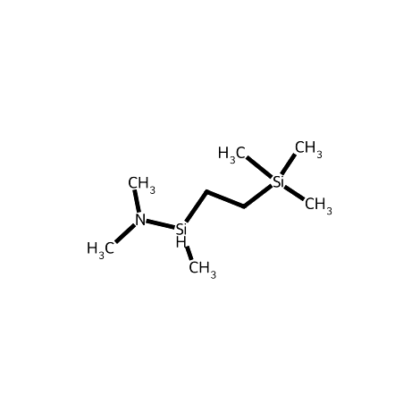 CN(C)[SiH](C)CC[Si](C)(C)C